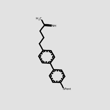 CCCCCc1ccc(-c2ccc(CCCC(C)=N)cc2)cc1